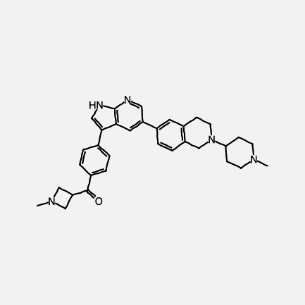 CN1CCC(N2CCc3cc(-c4cnc5[nH]cc(-c6ccc(C(=O)C7CN(C)C7)cc6)c5c4)ccc3C2)CC1